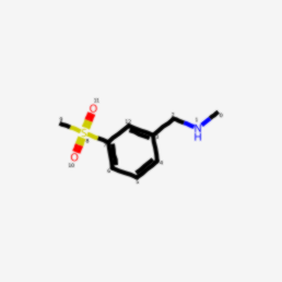 CNCc1cccc(S(C)(=O)=O)c1